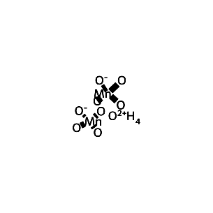 [OH4+2].[O]=[Mn](=[O])(=[O])[O-].[O]=[Mn](=[O])(=[O])[O-]